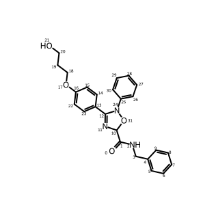 O=C(NCc1ccccc1)C1N=C(c2ccc(OCCCO)cc2)N(c2ccccc2)O1